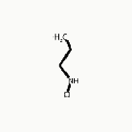 [CH2]CCNCl